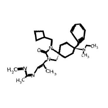 C=N/C(C)=N\C=C(/C)N1C[C@]2(CC[C@](c3ccccc3)(N(C)CC)CC2)N(CC2CCC2)C1=O